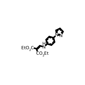 CCOC(=O)C(=CNc1ccc(-n2cccn2)cc1)C(=O)OCC